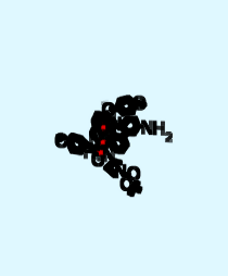 COc1ccc(CN(Cc2ccc(OC)cc2)S(=O)(=O)c2c(N([C@@H]3CCN(C(=O)OC(C)(C)C)C3)[SH](=O)=O)ccc(C3=C[C@H](N)CCC3)c2-c2nnn(Cc3ccc(OC)cc3)n2)cc1